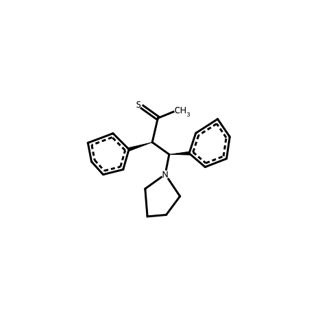 CC(=S)[C@H](c1ccccc1)[C@@H](c1ccccc1)N1CCCC1